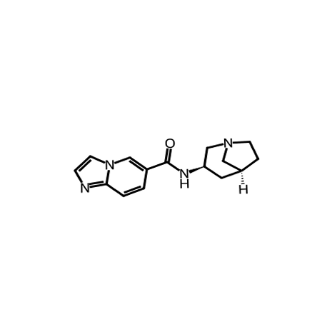 O=C(N[C@@H]1C[C@@H]2CCN(C2)C1)c1ccc2nccn2c1